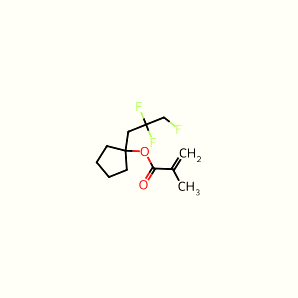 C=C(C)C(=O)OC1(CC(F)(F)CF)CCCC1